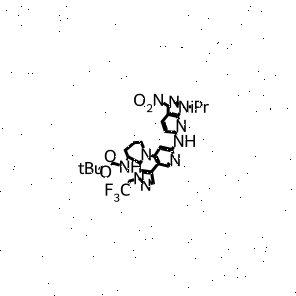 CC(C)n1nc([N+](=O)[O-])c2ccc(Nc3cc(N4CCC[C@H](NC(=O)OC(C)(C)C)C4)c(-c4cnn(CC(F)(F)F)c4)cn3)nc21